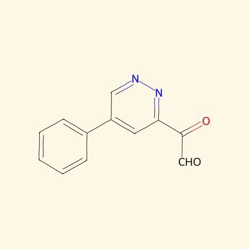 O=CC(=O)c1cc(-c2ccccc2)cnn1